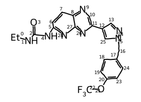 CCNC(=O)Nc1ccc2ncc(-c3cnn(Cc4ccc(OC(F)(F)F)cc4)c3)nc2n1